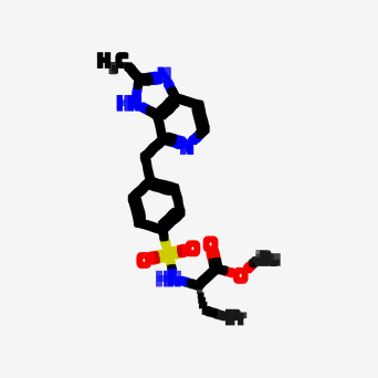 CCC(C)OC(=O)[C@H](CC(C)C)NS(=O)(=O)c1ccc(Cc2nccc3nc(C)[nH]c23)cc1